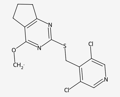 [CH2]Oc1nc(SCc2c(Cl)cncc2Cl)nc2c1CCC2